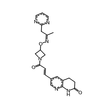 CC(Cc1ncccn1)=NOC1CN(C(=O)C=Cc2cnc3c(c2)CCC(=O)N3)C1